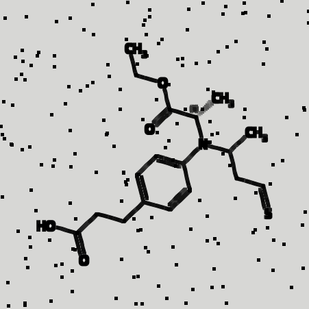 CCOC(=O)[C@H](C)N(c1ccc(CCC(=O)O)cc1)C(C)CC=S